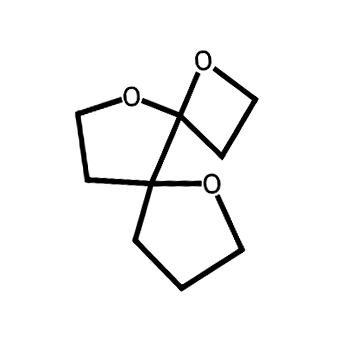 C1COC2(C1)CCOC21CCO1